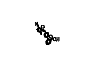 Cc1ccc(C#N)c(=O)n1Cc1ccc(-c2ccccc2C(=O)O)cc1